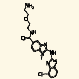 Cn1c(Nc2nc3c(Cl)cccc3s2)nc2cc(C(=O)NCCOCCN)ccc21